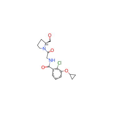 O=C[C@@H]1CCCN1C(=O)CNC(=O)c1cccc(OC2CC2)c1Cl